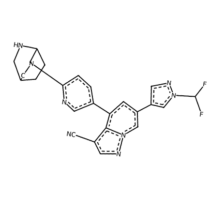 N#Cc1cnn2cc(-c3cnn(C(F)F)c3)cc(-c3ccc(N4CC5CCC(C4)NC5)nc3)c12